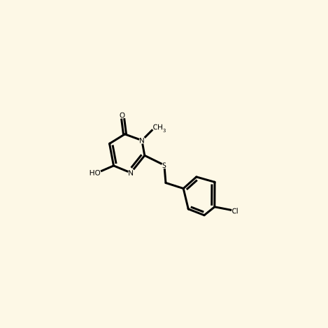 Cn1c(SCc2ccc(Cl)cc2)nc(O)cc1=O